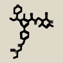 CC[C@H](O)CNCc1ccc(-c2cc(C(=O)NCc3c(C)cc(C)[nH]c3=O)c(C)c(N(CC)C3CCOCC3)c2)cc1